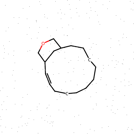 C1=CC2COCC(CCCCCCCCC1)C2